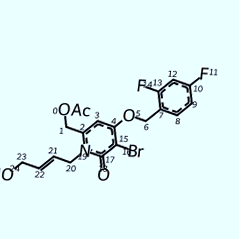 CC(=O)OCc1cc(OCc2ccc(F)cc2F)c(Br)c(=O)n1CC=CCO